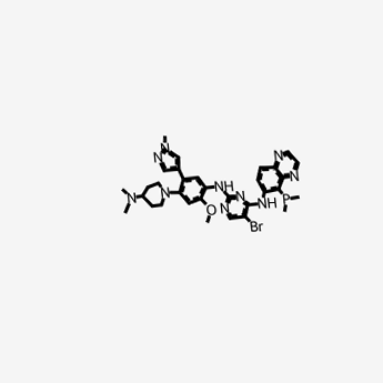 COc1cc(N2CCC(N(C)C)CC2)c(-c2cnn(C)c2)cc1Nc1ncc(Br)c(Nc2ccc3nccnc3c2P(C)C)n1